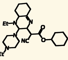 CCN1CCN(C2C(C(C#N)C(=O)OC3CCCCC3)N=C3CCCCC3N2CC)CC1